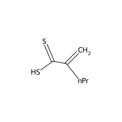 C=C(CCC)C(=S)S